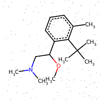 COC(CN(C)C)c1cccc(C)c1C(C)(C)C